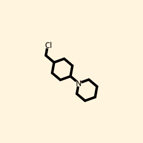 ClCC1CCC(N2CCCCC2)CC1